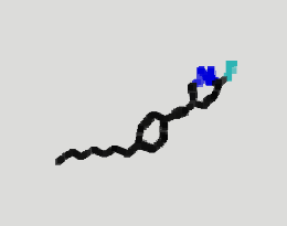 CCCCCCCc1ccc(C#Cc2ccc(F)nc2)cc1